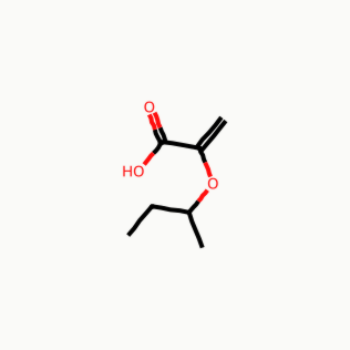 C=C(OC(C)CC)C(=O)O